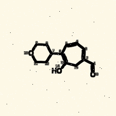 O=CC1=CC=CC(C2CCOCC2)=C(O)C1